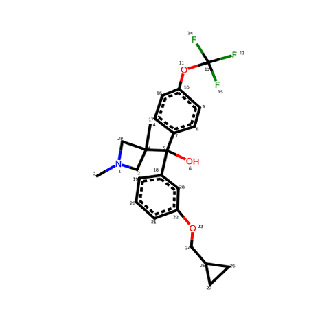 CN1CC(C)(C(O)(c2ccc(OC(F)(F)F)cc2)c2cccc(OCC3CC3)c2)C1